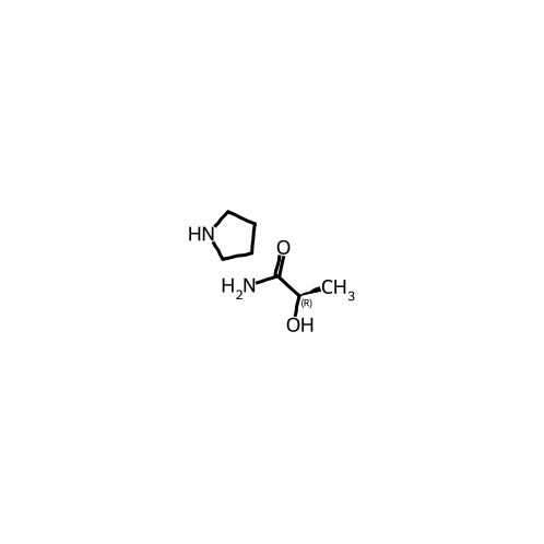 C1CCNC1.C[C@@H](O)C(N)=O